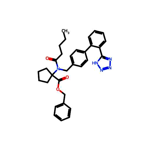 CCCCC(=O)N(Cc1ccc(-c2ccccc2-c2nnn[nH]2)cc1)C1(C(=O)OCc2ccccc2)CCCC1